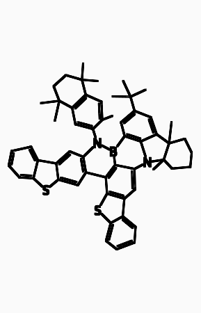 Cc1cc2c(cc1N1B3c4cc(C(C)(C)C)cc5c4N(c4cc6c(sc7ccccc76)c(c43)-c3cc4sc6ccccc6c4cc31)C1(C)CCCCC51C)C(C)(C)CCC2(C)C